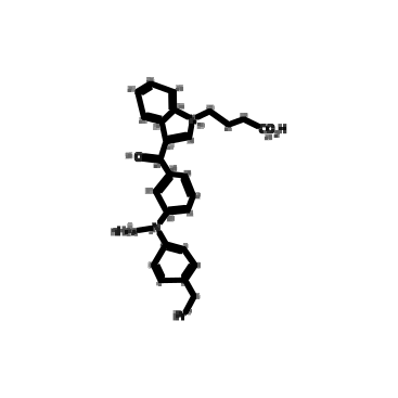 CCCCCCN(c1ccc(CC(C)C)cc1)c1cccc(C(=O)c2cn(CCCC(=O)O)c3ccccc23)c1